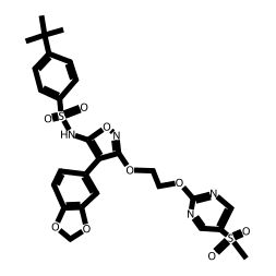 CC(C)(C)c1ccc(S(=O)(=O)Nc2onc(OCCOc3ncc(S(C)(=O)=O)cn3)c2-c2ccc3c(c2)OCO3)cc1